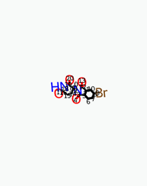 C[C@]1(N2C(=O)c3ccc(Br)cc3C2=O)CCC(=O)NC1=O